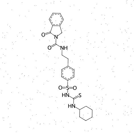 O=C(NCCc1ccc(S(=O)(=O)NC(=S)NC2CCCCC2)cc1)N1Cc2ccccc2C1=O